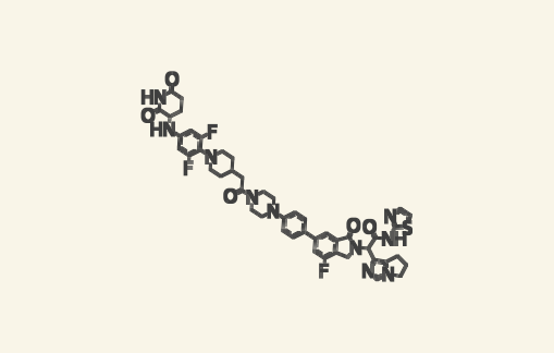 O=C1CCC(Nc2cc(F)c(N3CCC(CC(=O)N4CCN(c5ccc(-c6cc(F)c7c(c6)C(=O)N(C(C(=O)Nc6nccs6)c6ncn8c6CCC8)C7)cc5)CC4)CC3)c(F)c2)C(=O)N1